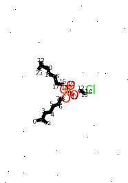 CC(C)CCCCCOP(=O)(OCCCl)OCCCCCC(C)C